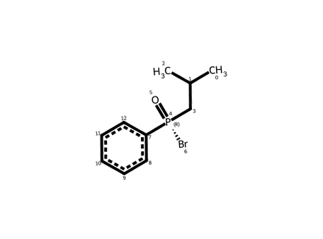 CC(C)C[P@@](=O)(Br)c1ccccc1